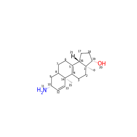 C[C@]12CCC3=C(CCC4C[C@@H](N)C=C[C@]34C)[C@@H]1CC[C@@H]2O